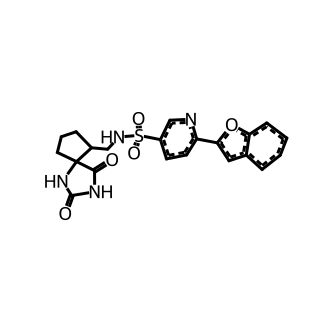 O=C1NC(=O)C2(CCCC2CNS(=O)(=O)c2ccc(-c3cc4ccccc4o3)nc2)N1